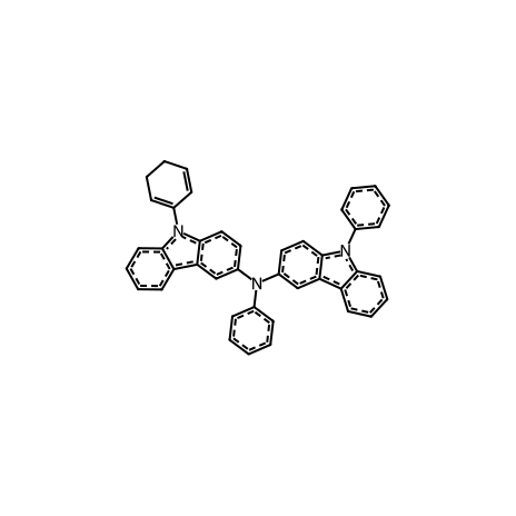 C1=CC(n2c3ccccc3c3cc(N(c4ccccc4)c4ccc5c(c4)c4ccccc4n5-c4ccccc4)ccc32)=CCC1